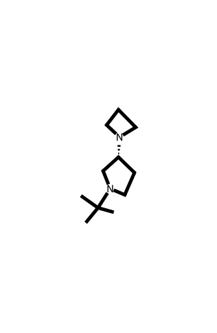 CC(C)(C)N1CC[C@@H](N2CCC2)C1